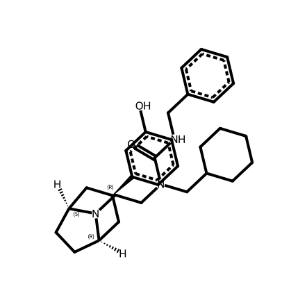 O=C(NCc1ccccc1)N(CCN1[C@@H]2CC[C@H]1C[C@@H](c1cccc(O)c1)C2)CC1CCCCC1